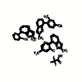 Cc1cc(C#N)ccc1-c1cccc2cn(C)nc12.Cn1cc2cccc(-c3ncc(C(F)(F)F)cc3Cl)c2n1.Cn1cc2cccc(-c3ncccc3C#N)c2n1.O=C(O)C(F)(F)F